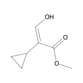 COC(=O)/C(=C\O)C1CC1